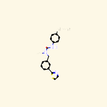 CCCCCc1ccc(NC(=O)N(Cc2cccc(-c3nccs3)c2)C(C)C)cc1